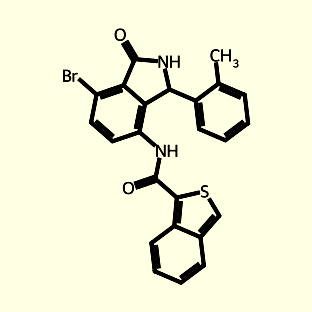 Cc1ccccc1C1NC(=O)c2c(Br)ccc(NC(=O)c3scc4ccccc34)c21